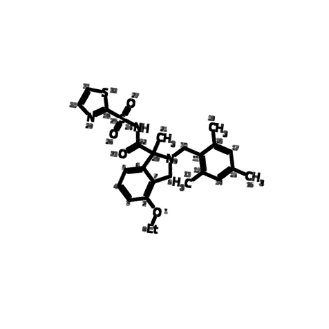 CCOc1cccc2c1CN(Cc1c(C)cc(C)cc1C)C2(C)C(=O)NS(=O)(=O)c1nccs1